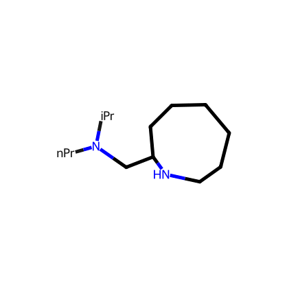 CCCN(CC1CCCCCCN1)C(C)C